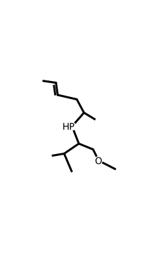 CC=CCC(C)PC(COC)C(C)C